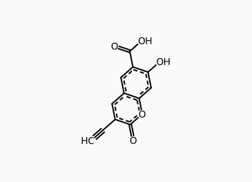 C#Cc1cc2cc(C(=O)O)c(O)cc2oc1=O